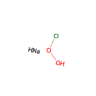 OOCl.[NaH]